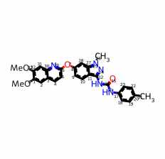 COc1cc2ccc(Oc3ccc4c(NC(=O)Nc5ccc(C)cc5)nn(C)c4c3)nc2cc1OC